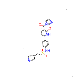 O=C(c1ccc(-c2ccc(NS(=O)(=O)CCc3ccncc3)cc2)[nH]c1=O)n1ccnc1